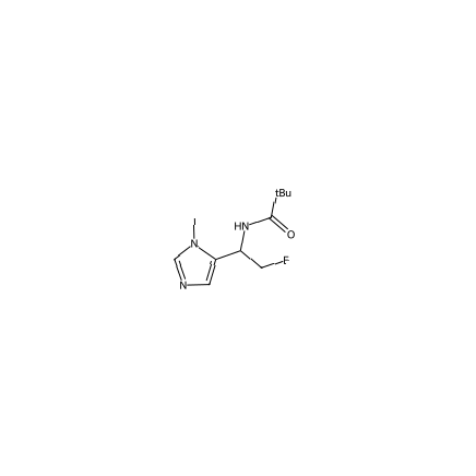 Cn1cncc1C(CF)NC(=O)C(C)(C)C